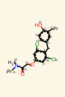 CC(C)c1cc(Cc2c(Cl)cc(OCC(=O)N(C)C(C)C)cc2Cl)ccc1O